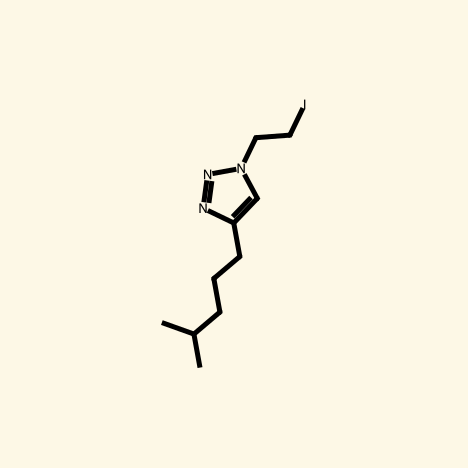 CC(C)CCCc1cn(CCI)nn1